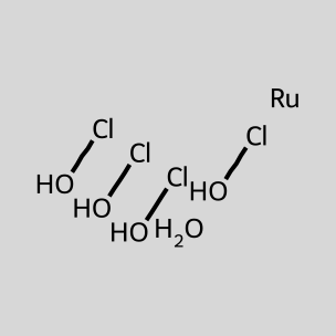 O.OCl.OCl.OCl.OCl.[Ru]